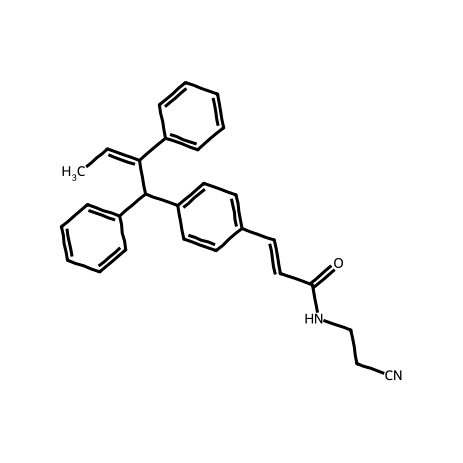 CC=C(c1ccccc1)C(c1ccccc1)c1ccc(C=CC(=O)NCCC#N)cc1